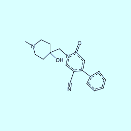 CN1CCC(O)(Cn2cc(C#N)c(-c3ccccc3)cc2=O)CC1